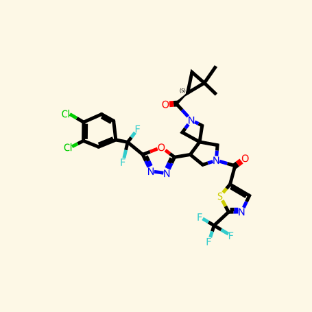 CC1(C)C[C@@H]1C(=O)N1CC2(CN(C(=O)c3cnc(C(F)(F)F)s3)CC2c2nnc(C(F)(F)c3ccc(Cl)c(Cl)c3)o2)C1